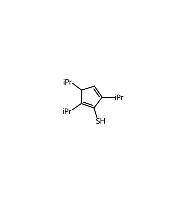 CC(C)C1=CC(C(C)C)C(C(C)C)=C1S